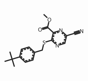 COC(=O)c1nc(C#N)cnc1SCc1ccc(C(C)(C)C)cc1